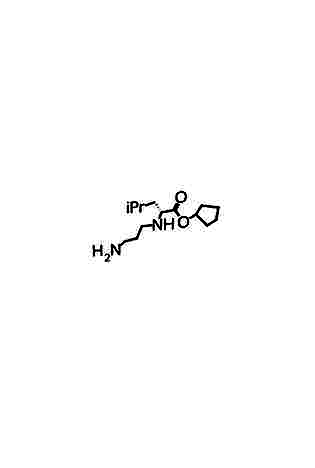 CC(C)C[C@@H](NCCCN)C(=O)OC1CCCC1